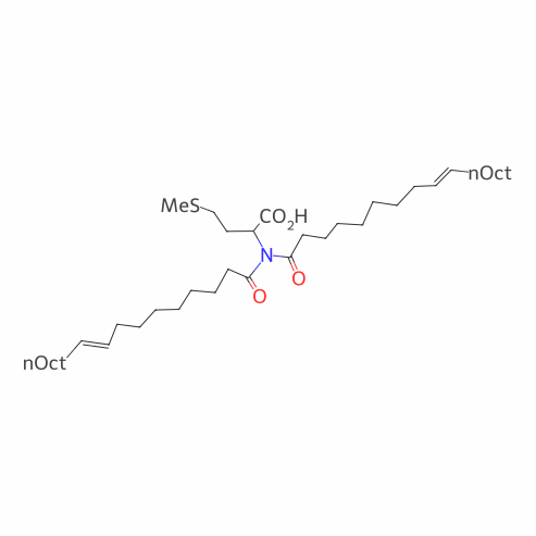 CCCCCCCCC=CCCCCCCCC(=O)N(C(=O)CCCCCCCC=CCCCCCCCC)C(CCSC)C(=O)O